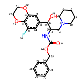 O=C(N[C@H](CN1CCCCC1)[C@H](O)c1cc(F)c2c(c1)OCCO2)OCc1ccccc1